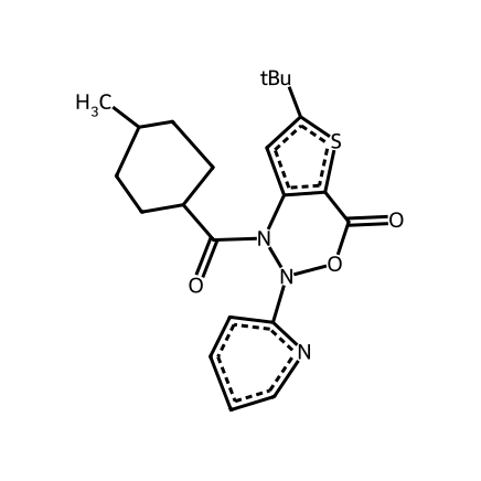 CC1CCC(C(=O)N2c3cc(C(C)(C)C)sc3C(=O)ON2c2ccccn2)CC1